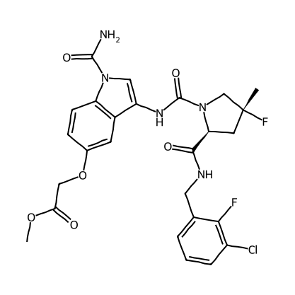 COC(=O)COc1ccc2c(c1)c(NC(=O)N1C[C@](C)(F)C[C@H]1C(=O)NCc1cccc(Cl)c1F)cn2C(N)=O